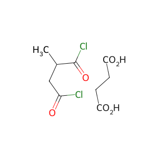 CC(CC(=O)Cl)C(=O)Cl.O=C(O)CCC(=O)O